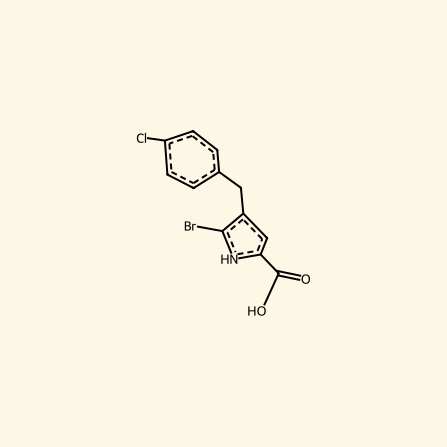 O=C(O)c1cc(Cc2ccc(Cl)cc2)c(Br)[nH]1